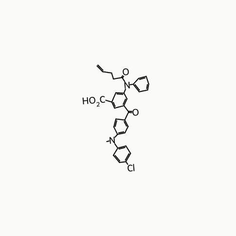 C=CCCC(=O)N(c1ccccc1)c1cc(C(=O)O)cc(C(=O)c2ccc(N(C)c3ccc(Cl)cc3)cc2)c1